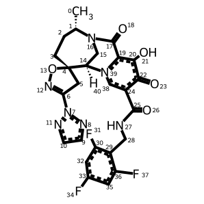 C[C@H]1CC[C@]2(CC(n3nccn3)=NO2)[C@H]2CN1C(=O)c1c(O)c(=O)c(C(=O)NCc3c(F)cc(F)cc3F)cn12